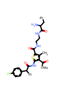 CCC(C(=O)Nc1sc(C(=O)NCCNC(=O)C(N)CC(C)C)c(C)c1C(=O)OC)c1ccc(F)cc1